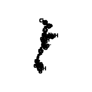 CC1(C)CCC(CN2CCN(c3ccc(C(=O)NS(=O)(=O)c4ccc(NCC5CCN(CCC#Cc6ccc7c(c6)C(=O)N(C6CCC(=O)NC6=O)C7=O)CC5)c([N+](=O)[O-])c4)c(Oc4cnc5[nH]ccc5c4)c3)CC2)=C(c2ccc(Cl)cc2)C1